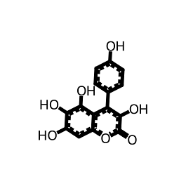 O=c1oc2cc(O)c(O)c(O)c2c(-c2ccc(O)cc2)c1O